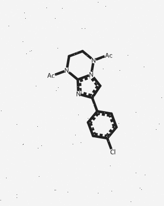 CC(=O)N1CCN(C(C)=O)n2cc(-c3ccc(Cl)cc3)nc21